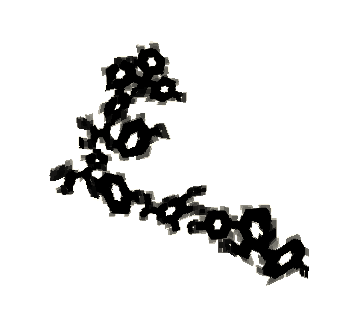 CC(C)(C)C(=O)C(Oc1ccc(Cl)cc1)n1cncn1.CC(C)(C)C(O)C(Oc1ccc(Cl)cc1)n1cncn1.CCCCc1c(C)nc(N(C)C)nc1O.OC(c1ccc(Cl)cc1)(c1cncnc1)c1ccccc1Cl.OCc1c(-c2ccc(Cl)cc2)ccnc1-c1ccc(Cl)cc1